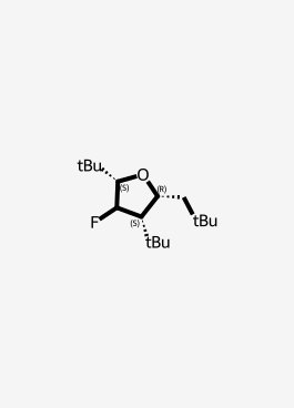 CC(C)(C)C[C@H]1O[C@@H](C(C)(C)C)C(F)[C@H]1C(C)(C)C